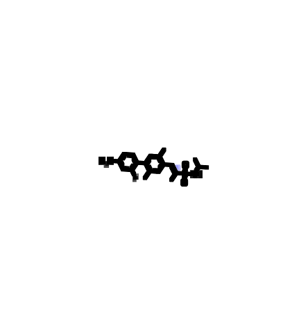 C/C(=C\c1cc(C)c(-c2ccc(N)cc2F)cc1C)S(=O)(=O)NC(C)C